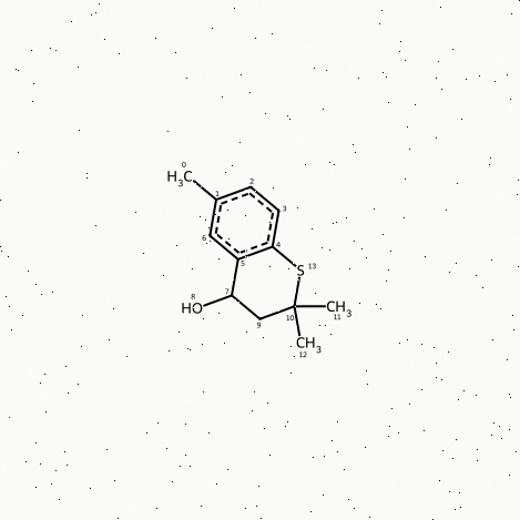 Cc1ccc2c(c1)C(O)CC(C)(C)S2